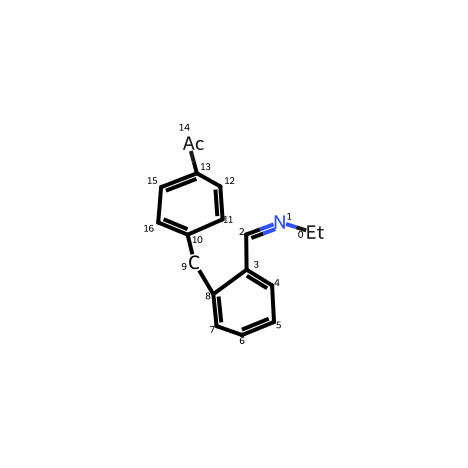 CC/N=C\c1ccccc1Cc1ccc(C(C)=O)cc1